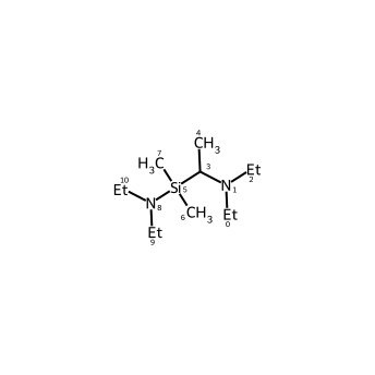 CCN(CC)C(C)[Si](C)(C)N(CC)CC